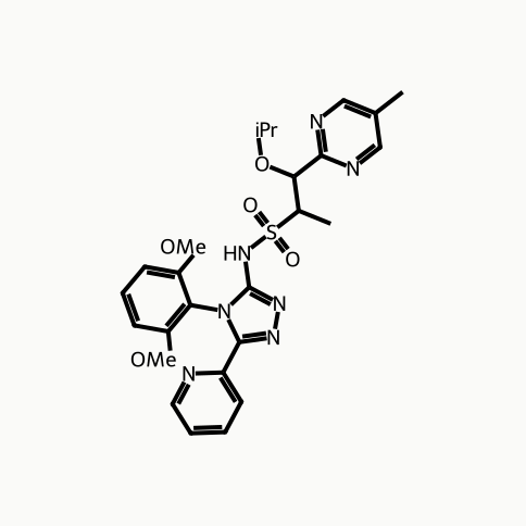 COc1cccc(OC)c1-n1c(NS(=O)(=O)C(C)C(OC(C)C)c2ncc(C)cn2)nnc1-c1ccccn1